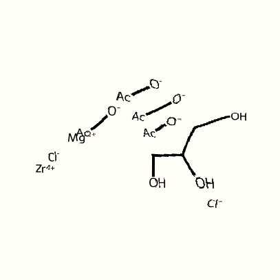 CC(=O)[O-].CC(=O)[O-].CC(=O)[O-].CC(=O)[O-].OCC(O)CO.[Cl-].[Cl-].[Mg+2].[Zr+4]